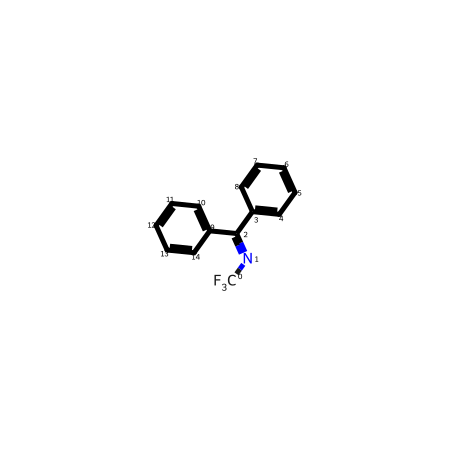 FC(F)(F)N=C(c1ccccc1)c1ccccc1